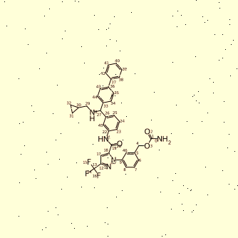 NC(=O)OCc1cccc(-n2nc(C(F)(F)F)cc2C(=O)Nc2cccc(C(NCC3CC3)c3ccc(-c4ccccc4)cc3)c2)c1